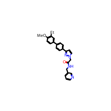 CCc1cc(-c2ccc(-c3ccn(CC(=O)NCc4cccnc4)n3)cc2)ccc1OC